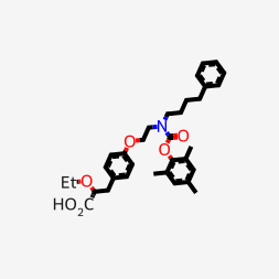 CCOC(Cc1ccc(OCCN(CCCCc2ccccc2)C(=O)Oc2c(C)cc(C)cc2C)cc1)C(=O)O